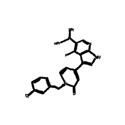 CCCN(CCC)c1cnc2[nH]cc(-c3ccn(Cc4cccc(Cl)c4)c(=O)c3)c2c1F